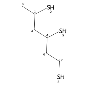 CC(S)CC(S)C[CH]S